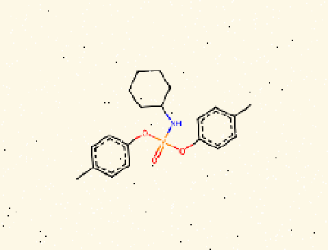 Cc1ccc(OP(=O)(NC2CCCCC2)Oc2ccc(C)cc2)cc1